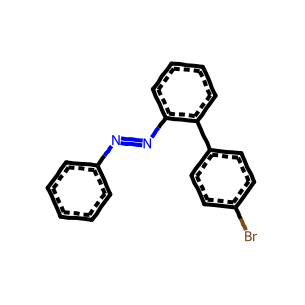 Brc1ccc(-c2ccccc2N=Nc2ccccc2)cc1